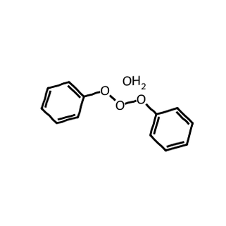 O.c1ccc(OOOc2ccccc2)cc1